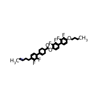 C/C=C/CCc1ccc(C2=CCC(C(=O)Oc3ccc(-c4ccc(OCCCC)c(F)c4F)c(F)c3F)CC2)c(F)c1F